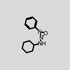 c1ccc(-n2on2NC2CCCCC2)cc1